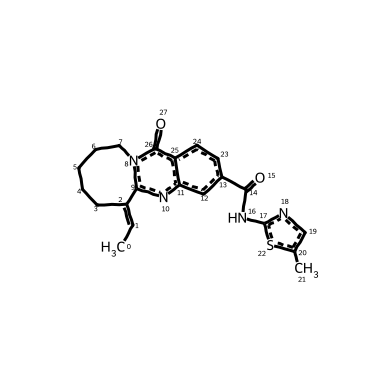 CC=C1CCCCCn2c1nc1cc(C(=O)Nc3ncc(C)s3)ccc1c2=O